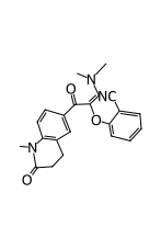 CN(C)/C=C(/Oc1ccccc1C#N)C(=O)c1ccc2c(c1)CCC(=O)N2C